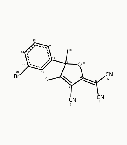 CC1=C(C#N)C(=C(C#N)C#N)OC1(C)c1cccc(Br)c1